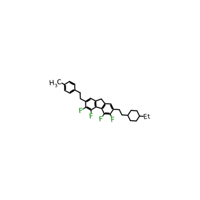 CCC1CCC(CCc2cc3c(c(F)c2F)-c2c(cc(CCc4ccc(C)cc4)c(F)c2F)C3)CC1